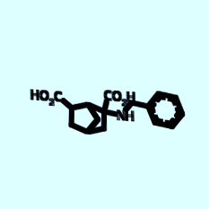 O=C(O)C1CC2CC1C(NCc1ccccc1)(C(=O)O)C2